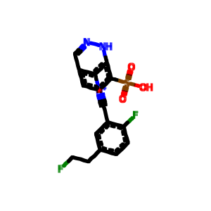 O=S(=O)(O)c1ccc2c([N+]#Cc3cc(CCF)ccc3F)c1NN=C2